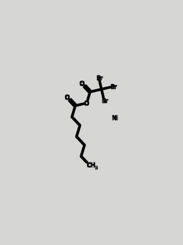 CCCCCCC(=O)OC(=O)C(Br)(Br)Br.[Ni]